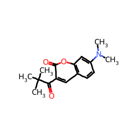 CN(C)c1ccc2cc(C(=O)C(C)(C)C)c(=O)oc2c1